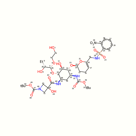 CC[C@@H](O)[C@H](OCCO)O[C@@H]1[C@@H](O)[C@H](O[C@@H]2CCC=C(CNS(=O)(=O)c3ccccc3[N+](=O)[O-])O2)[C@@H](NC(=O)OC(C)(C)C)C[C@H]1NC(=O)C1(O)CN(C(=O)OC(C)(C)C)C1